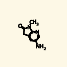 CN1C(=O)Cc2cc(N)cnc21